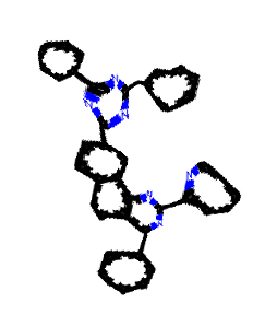 c1ccc(-c2nc(-c3ccccc3)nc(-c3ccc4ccc5c(-c6ccccc6)nc(-c6ccccn6)nc5c4c3)n2)cc1